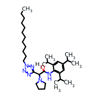 CCCCCCCCCCCCn1nnc(C(C(=O)Nc2c(C(C)C)cc(C(C)C)cc2C(C)C)N2CCCC2)n1